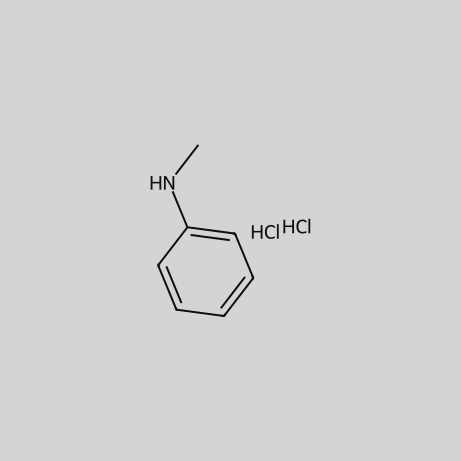 CNc1ccccc1.Cl.Cl